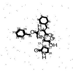 O=C(N[C@@H](CC1CCCCC1)C(=O)N[C@@H](C[C@@H]1CCNC1=O)C(=O)O)OCc1ccccc1